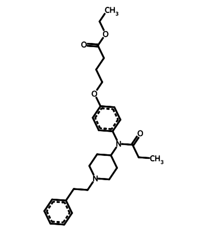 CCOC(=O)CCCOc1ccc(N(C(=O)CC)C2CCN(CCc3ccccc3)CC2)cc1